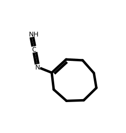 N=C=NC1=CCCCCCC1